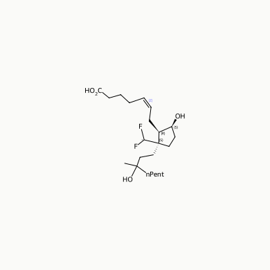 CCCCCC(C)(O)CC[C@@]1([C](F)F)CC[C@H](O)[C@@H]1C/C=C\CCCC(=O)O